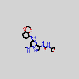 CNc1cc(Nc2cccc3c2OCCO3)nc2c(NC(=O)NC3COC3)cnn12